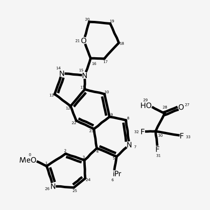 COc1cc(-c2c(C(C)C)ncc3cc4c(cnn4C4CCCCO4)cc23)ccn1.O=C(O)C(F)(F)F